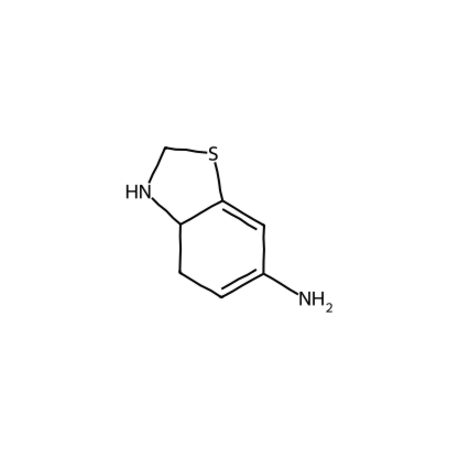 NC1=CCC2NCSC2=C1